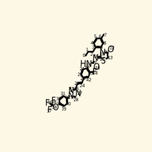 CCCc1ccc(C)cc1N1C(=O)CSC1=NC(=O)Nc1ccc(C=Cc2ncn(-c3ccc(OC(F)(F)F)cc3)n2)cc1F